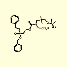 CC(C)(CO[Si](C)(C)C(C)(C)C)CN(CC(=O)O)C(=O)OCOP(=O)(OCc1ccccc1)OCc1ccccc1